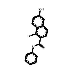 O=C(Oc1ccccc1)c1ccc2cc(O)ccc2c1Br